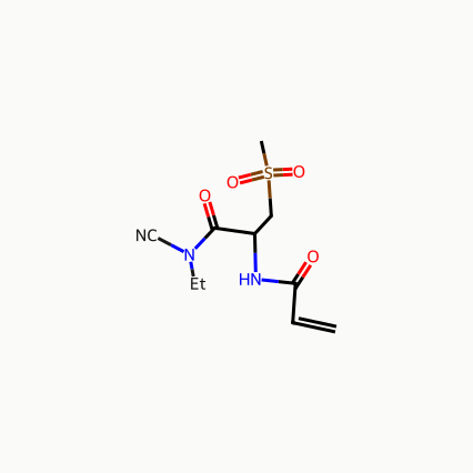 C=CC(=O)NC(CS(C)(=O)=O)C(=O)N(C#N)CC